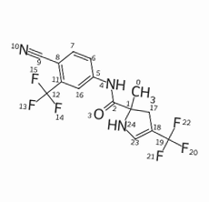 CC1(C(=O)Nc2ccc(C#N)c(C(F)(F)F)c2)CC(C(F)(F)F)=CN1